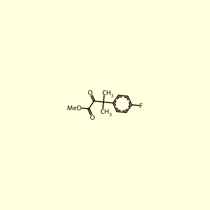 COC(=O)C(=O)C(C)(C)c1ccc(F)cc1